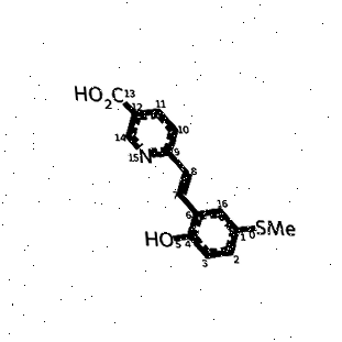 CSc1ccc(O)c(C=Cc2ccc(C(=O)O)cn2)c1